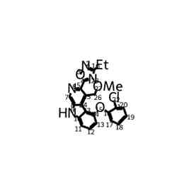 CCc1noc(-c2ncc3[nH]c4cccc(Oc5ccccc5Cl)c4c3c2COC)n1